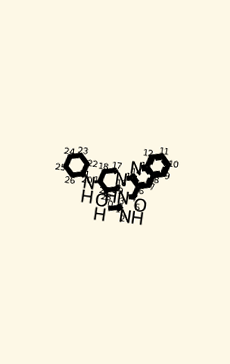 CC(=N)NC(=O)c1cc2ccccc2nc1N1CC[C@H](NC2CCCCC2)[C@H](O)C1